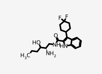 CCCC(O)[C@@H](N)CNC(=O)c1[nH]c2ccccc2c1C1CCC(F)(F)CC1